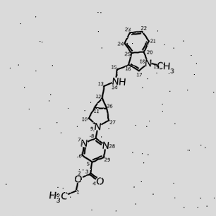 CCOC(=O)c1cnc(N2CC3C(CNCc4cn(C)c5ccccc45)C3C2)nc1